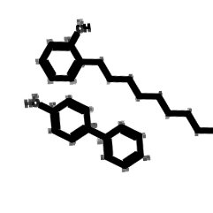 CCCCCCCCCc1ccccc1O.Oc1ccc(-c2ccccc2)cc1